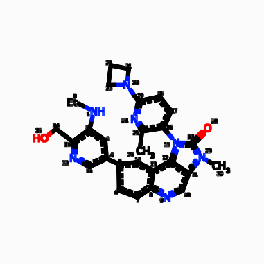 CCNc1cc(-c2ccc3ncc4c(c3c2)n(-c2ccc(N3CCC3)nc2C)c(=O)n4C)cnc1CO